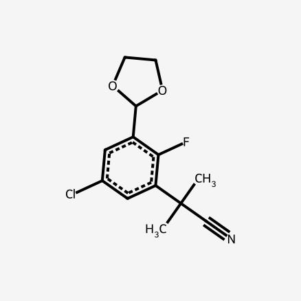 CC(C)(C#N)c1cc(Cl)cc(C2OCCO2)c1F